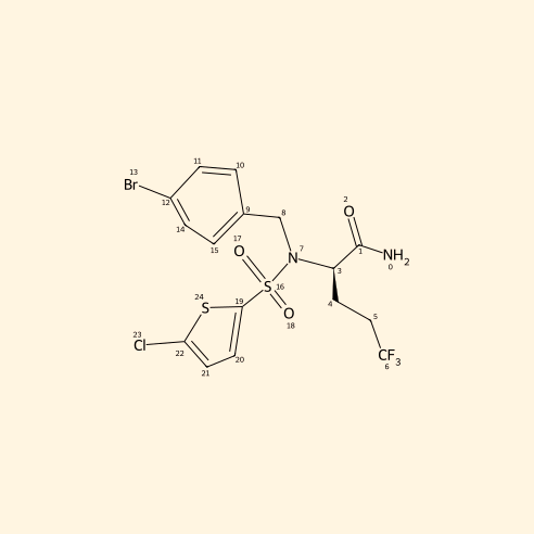 NC(=O)[C@@H](CCC(F)(F)F)N(Cc1ccc(Br)cc1)S(=O)(=O)c1ccc(Cl)s1